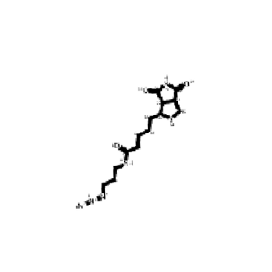 [N-]=[N+]=NCCCNC(=O)CCCCC1SCC2C(=O)NC(=O)C12